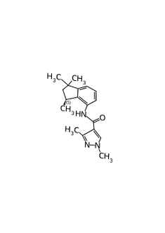 Cc1nn(C)cc1C(=O)Nc1cccc2c1[C@@H](C)CC2(C)C